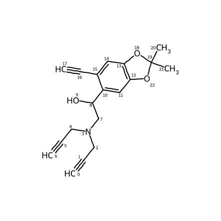 C#CCN(CC#C)CC(O)c1cc2c(cc1C#C)OC(C)(C)O2